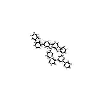 c1ccc(-c2cc(-c3ccccc3)nc(-c3cccc4c3sc3c4ccc4c5ccc(-c6cccc7c6oc6ccccc67)cc5n(-c5ccccc5)c43)n2)cc1